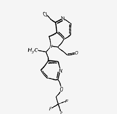 CC(c1ccc(OCC(F)(F)F)nc1)N1Cc2c(ccnc2Cl)C1C=O